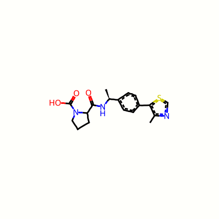 Cc1ncsc1-c1ccc([C@H](C)NC(=O)C2CCCN2C(=O)O)cc1